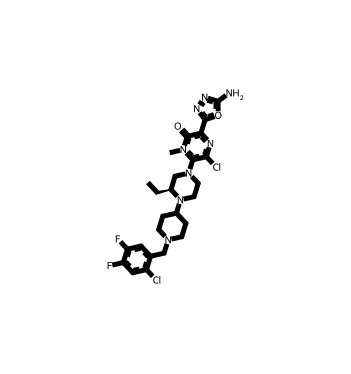 CC[C@H]1CN(c2c(Cl)nc(-c3nnc(N)o3)c(=O)n2C)CCN1C1CCN(Cc2cc(F)c(F)cc2Cl)CC1